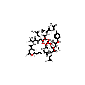 CC(C)C[C@H](NC(=O)[C@H](CO)NC(=O)[C@H](CCC(=O)O)NC(=O)[C@H](CCCCN)NC(=O)[C@@H](NC(=O)[C@H](CCC(N)=O)NC(=O)[C@@H](NC(=O)[C@@H](N)CC(C)C)[C@@H](C)O)C(C)C)C(=O)N[C@@H](CO)C(=O)N[C@@H](CO)C(=O)N[C@@H](Cc1ccc(O)cc1)C(=O)O